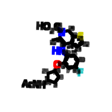 CC(=O)N[C@H]1CC[C@H](Oc2cc(F)ccc2NC2=C(C)N(C(=O)O)Cc3sccc32)C1